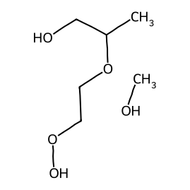 CC(CO)OCCOO.CO